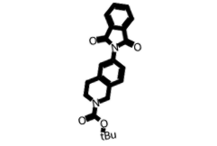 CC(C)(C)OC(=O)N1CCc2cc(N3C(=O)c4ccccc4C3=O)ccc2C1